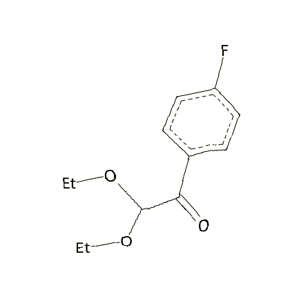 CCOC(OCC)C(=O)c1ccc(F)cc1